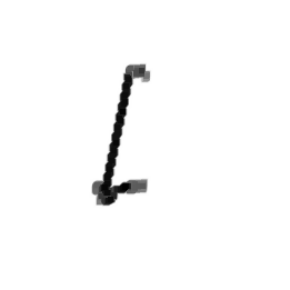 CCCCCCCCCCCCCCCCCCCCCCCC(=O)C1=NCCN1CC=CO